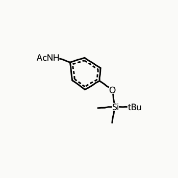 CC(=O)Nc1ccc(O[Si](C)(C)C(C)(C)C)cc1